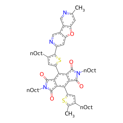 CCCCCCCCc1cc(-c2c3c(=O)n(CCCCCCCC)c(=O)c3c(-c3cc(CCCCCCCC)c(-c4cc5oc6cc(C)ncc6c5cn4)s3)c3c(=O)n(CCCCCCCC)c(=O)c23)sc1C